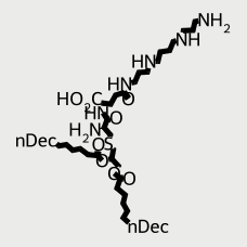 CCCCCCCCCCCCCCCC(=O)OCC(CSC[C@H](N)C(=O)N[C@@H](CCC(=O)NCCCNCCCCNCCCN)C(=O)O)OC(=O)CCCCCCCCCCCCCCC